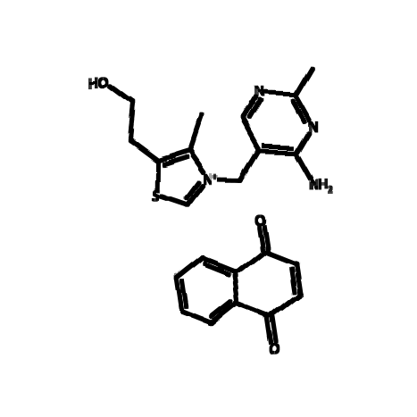 Cc1ncc(C[n+]2csc(CCO)c2C)c(N)n1.O=C1C=CC(=O)c2ccccc21